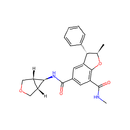 CNC(=O)c1cc(C(=O)N[C@H]2[C@@H]3COC[C@@H]32)cc2c1O[C@H](C)[C@H]2c1ccccc1